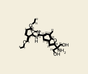 C=C(/C=C\C(=C/OCC)C1NC(c2cc(C)c3oc(C(N)(CO)CO)cc3c2)=NO1)OCC